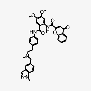 COc1cc(NC(=O)c2cc(=O)c3ccccc3o2)c(C(=O)Nc2ccc(CCN(C)Cc3ccc4c(cnn4C)c3)cc2)cc1OC